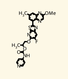 COc1cnc2c(-c3nc4cc(F)c(OCC(C)OC(=O)Nc5ccncc5)nc4s3)cc(C)cc2n1